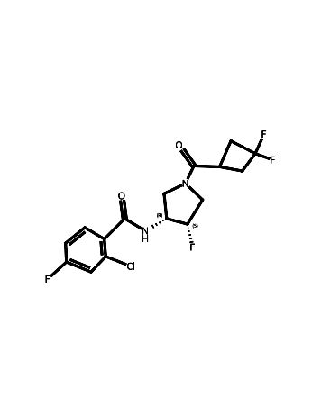 O=C(N[C@@H]1CN(C(=O)C2CC(F)(F)C2)C[C@@H]1F)c1ccc(F)cc1Cl